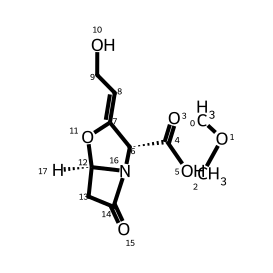 COC.O=C(O)[C@H]1C(=CCO)O[C@@H]2CC(=O)N12